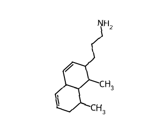 CC1CC=CC2C=CC(CCCN)C(C)C21